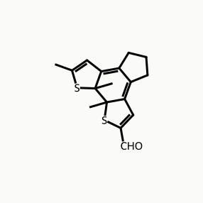 CC1=CC2=C3CCCC3=C3C=C(C=O)SC3(C)C2(C)S1